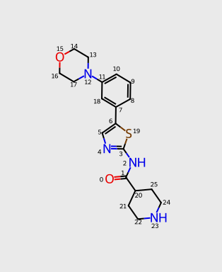 O=C(Nc1ncc(-c2cccc(N3CCOCC3)c2)s1)C1CCNCC1